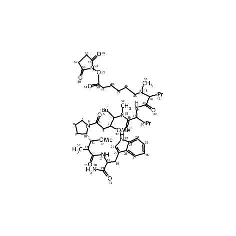 CCC(C)C(C(CC(=O)N1CCC[C@H]1C(OC)C(C)C(=O)NC(Cc1c[nH]c2ccccc12)C(N)=O)OC)N(C)C(=O)C(NC(=O)C(C(C)C)N(C)CCCCCC(=O)ON1C(=O)CCC1=O)C(C)C